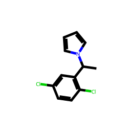 CC(c1cc(Cl)ccc1Cl)n1cccc1